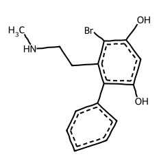 CNCCc1c(Br)c(O)cc(O)c1-c1ccccc1